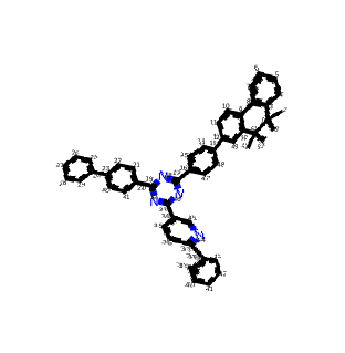 CC1(C)c2ccccc2-c2ccc(-c3ccc(-c4nc(-c5ccc(-c6ccccc6)cc5)nc(-c5ccc(-c6ccccc6)nc5)n4)cc3)cc2C1(C)C